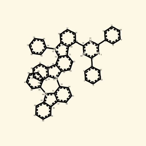 c1ccc(-c2nc(-c3ccccc3)nc(-c3cccc4c3c3ccc5c(c6ccccc6n5-c5cccc6c7ccccc7n(-c7ccccc7)c56)c3n4-c3ccccc3)n2)cc1